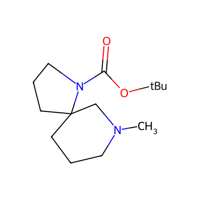 CN1CCCC2(CCCN2C(=O)OC(C)(C)C)C1